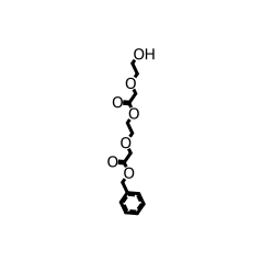 O=C(COCCO)OCCOCC(=O)OCc1ccccc1